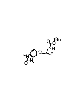 Cn1c(=O)n(C)c2cc(OC/C(=C/F)CNC(=O)OC(C)(C)C)ccc21